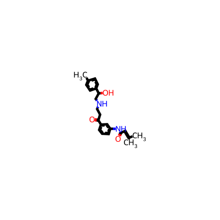 CC(C)=CC(=O)Nc1cccc(C(=O)CCNCC(O)c2ccc(C)cc2)c1